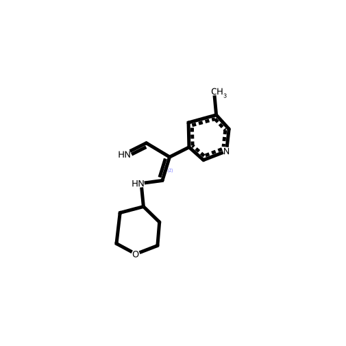 Cc1cncc(/C(C=N)=C/NC2CCOCC2)c1